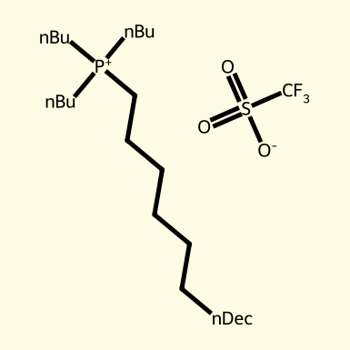 CCCCCCCCCCCCCCCC[P+](CCCC)(CCCC)CCCC.O=S(=O)([O-])C(F)(F)F